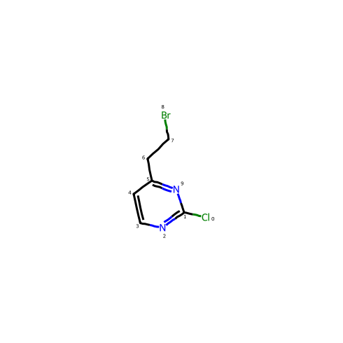 Clc1nccc(CCBr)n1